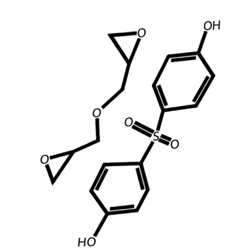 C(OCC1CO1)C1CO1.O=S(=O)(c1ccc(O)cc1)c1ccc(O)cc1